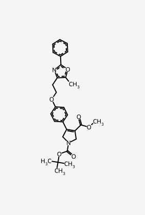 COC(=O)C1=C(c2ccc(OCCc3nc(-c4ccccc4)oc3C)cc2)CN(C(=O)OC(C)(C)C)C1